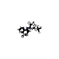 COC(=O)/C(=C/C1(c2cccnc2[N+](=O)[O-])CC1)NC(=O)OC(C)(C)C